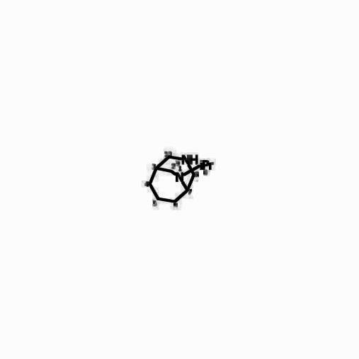 CC(C)N1CC2CCCC1CNC2